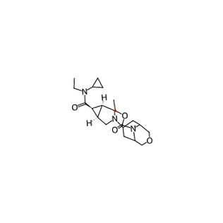 CCOC(=O)N1C2COCC1CC(N1C[C@@H]3[C@H](C1)[C@@H]3C(=O)N(CC)C1CC1)C2